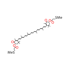 CSCCC(=O)OC1CC(C)(C)C(/C=C/C(C)=C/C=C/C(C)=C/C=C/C=C(C)/C=C/C=C(C)/C=C/C2=C(C)C(=O)C(OC(=O)CCSC)CC2(C)C)=C(C)C1=O